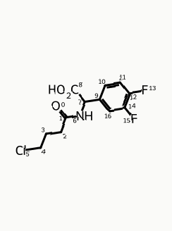 O=C(CCCCl)NC(C(=O)O)c1ccc(F)c(F)c1